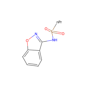 CCCS(=O)(=O)Nc1noc2ccccc12